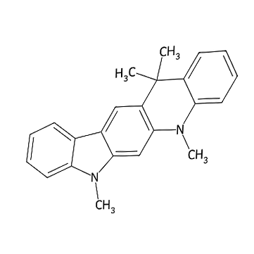 CN1c2ccccc2C(C)(C)c2cc3c4ccccc4n(C)c3cc21